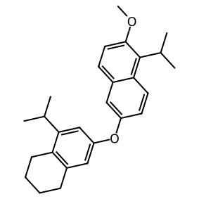 COc1ccc2cc(Oc3cc4c(c(C(C)C)c3)CCCC4)ccc2c1C(C)C